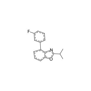 CC(C)c1nc2c(-c3cccc(F)c3)cccc2o1